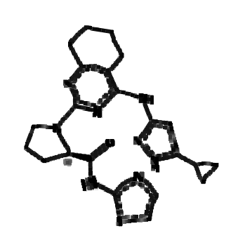 O=C(Nc1nccs1)[C@H]1CCCN1c1nc2c(c(Nc3cc(C4CC4)[nH]n3)n1)CCCC2